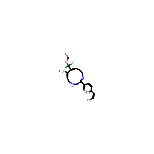 C/C=C(\C=C/C(/C=C\CC)CC)C1=N/CC/C=C(C(F)(F)OCF)\C(C)=C/CNC\1